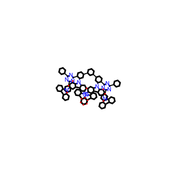 c1ccc(-c2nc(-c3ccccc3)nc(-c3ccc(-c4cccc(-c5ccc(-c6nc(-c7ccccc7)nc(-c7ccccc7)n6)c(-n6c7ccc(-n8c9ccccc9c9ccccc98)cc7c7cc(-n8c9ccccc9c9ccccc98)ccc76)c5)c4)cc3-n3c4ccc(-n5c6ccccc6c6ccccc65)cc4c4cc(-n5c6ccccc6c6ccccc65)ccc43)n2)cc1